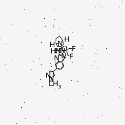 Cn1cc(-c2ccc3cnc(NC(=O)N4[C@@H]5CC[C@H]4C[C@@H](NC(CF)CF)C5)nc3c2)cn1